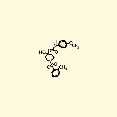 Cc1ccccc1S(=O)(=O)N1CCC(O)(OC(=O)Nc2ccc(OC(F)(F)F)cc2)CC1